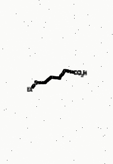 [CH2]CSCCCCC(=O)O